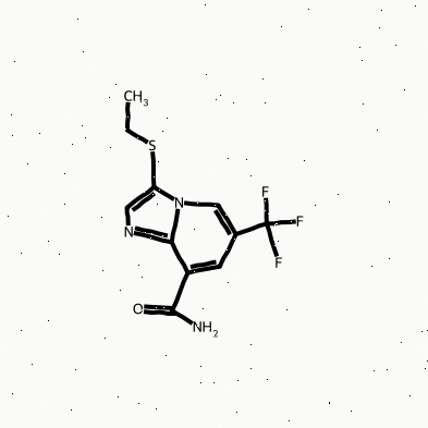 CCSc1cnc2c(C(N)=O)cc(C(F)(F)F)cn12